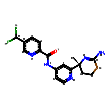 C[C@@]1(c2cc(NC(=O)c3ccc(C(F)F)cn3)ccn2)CCSC(N)=N1